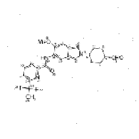 COc1cc2nn([C@H]3CC[C@H](C=O)CC3)cc2cc1NC(=O)c1cccc(C(C)(F)F)n1